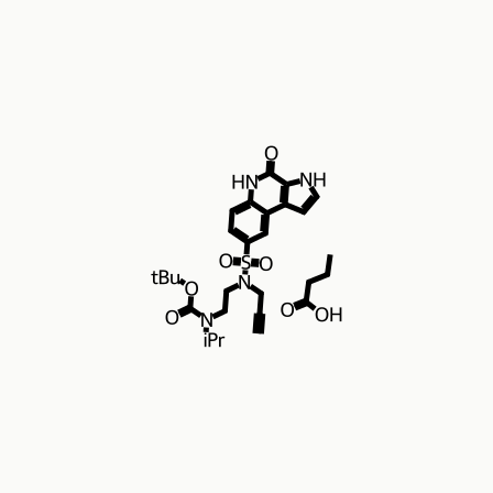 C#CCN(CCN(C(=O)OC(C)(C)C)C(C)C)S(=O)(=O)c1ccc2[nH]c(=O)c3[nH]ccc3c2c1.CCCC(=O)O